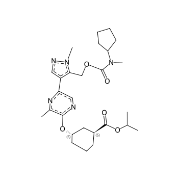 Cc1nc(-c2cnn(C)c2COC(=O)N(C)C2CCCC2)cnc1O[C@H]1CCC[C@H](C(=O)OC(C)C)C1